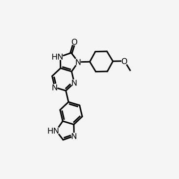 COC1CCC(n2c(=O)[nH]c3cnc(-c4ccc5nc[nH]c5c4)nc32)CC1